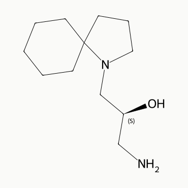 NC[C@H](O)CN1CCCC12CCCCC2